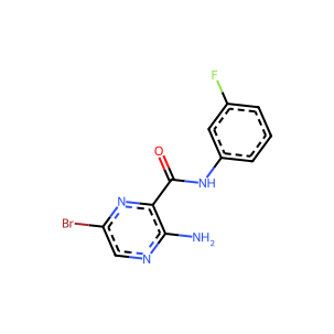 Nc1ncc(Br)nc1C(=O)Nc1cccc(F)c1